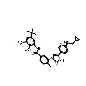 COc1c(N)cc(C(C)(C)C)cc1NC(=O)c1ccc(C)c(N2C=C(c3ccc(NCC4CC4)nc3)NN2)c1